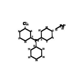 C1CCC(P(C2CCCCC2)C2CCCCC2)CC1.[CH3][Pd+].[Cl-]